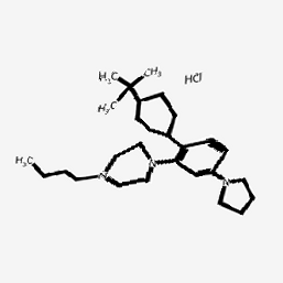 CCCCN1CCN(c2cc(N3CCCC3)ccc2C2CCC(C(C)(C)C)CC2)CC1.Cl